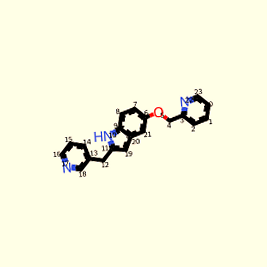 c1ccc(COc2ccc3[nH]c(Cc4cccnc4)cc3c2)nc1